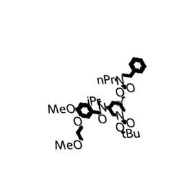 CCCN(CCc1ccccc1)C(=O)OC[C@H]1CC(N(C(=O)c2ccc(OC)c(OCCCOC)c2)C(C)C)CN(C(=O)OC(C)(C)C)C1